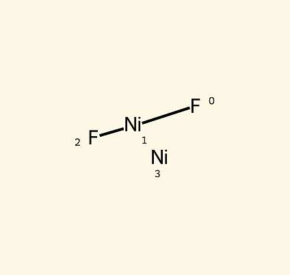 [F][Ni][F].[Ni]